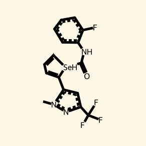 Cn1nc(C(F)(F)F)cc1C1=CC=[C][SeH]1C(=O)Nc1ccccc1F